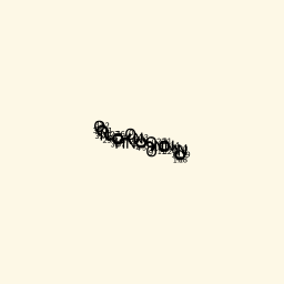 O=C(Nc1ccc(OC(=O)N2CCN(Cc3ccccn3)CC2)cn1)c1ccc(CN2CCOCC2)cc1